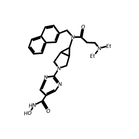 CCN(CC)CCC(=O)N(Cc1ccc2ccccc2c1)C1C2CN(c3ncc(C(=O)NO)cn3)CC21